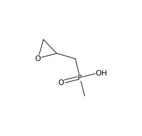 CP(=O)(O)CC1CO1